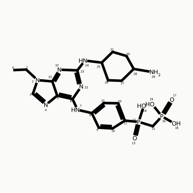 CCn1cnc2c(Nc3ccc(P(=O)(O)CP(=O)(O)O)cc3)nc(NC3CCC(N)CC3)nc21